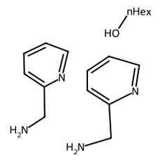 CCCCCCO.NCc1ccccn1.NCc1ccccn1